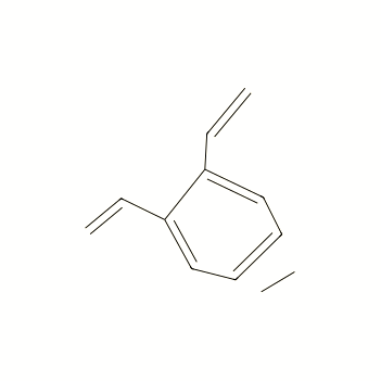 C=Cc1ccccc1C=C.CC